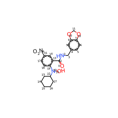 O=C(NCc1ccc2c(c1)OCO2)c1cc([N+](=O)[O-])ccc1N(O)C1CCCCC1